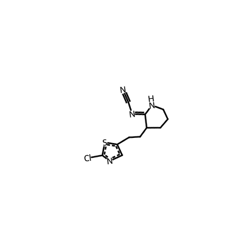 N#CN=C1NCCCC1CCc1cnc(Cl)s1